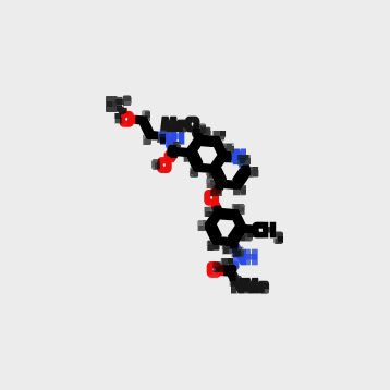 CCOCCNC(=O)c1cc2c(Oc3ccc(NC(=O)NC)c(C)c3)ccnc2cc1OC